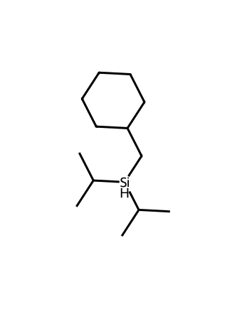 CC(C)[SiH](CC1CCCCC1)C(C)C